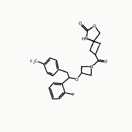 O=C1NC2(CO1)CC(C(=O)N1CC(OC(Cc3ccc(C(F)(F)F)cc3)c3ccccc3F)C1)C2